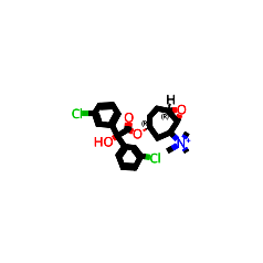 C[N+](C)(C)C1C[C@H](OC(=O)C(O)(c2cccc(Cl)c2)c2cccc(Cl)c2)CC[C@H]2OC12